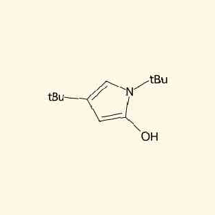 CC(C)(C)c1cc(O)n(C(C)(C)C)c1